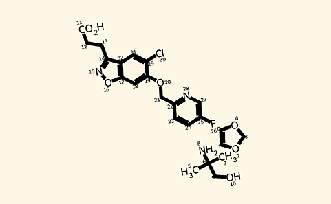 C1=COCO1.CC(C)(N)CO.O=C(O)CCc1noc2cc(OCc3ccc(F)cn3)c(Cl)cc12